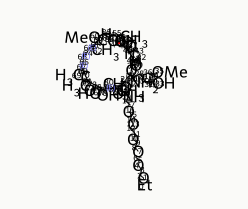 CCOCCOCCOCCOCCOCCOCCNC(=O)O[C@@H]1C[C@@H]([C@H](N)C[C@@H]2CC[C@@H](O)[C@H](OC)C2)OC(=O)[C@@H]2CCCCN2C(=O)C(=O)[C@]2(O)O[C@@H](CC[C@H]2C)C[C@H](OC)/C(C)=C/C=C/C=C/[C@@H](C)C[C@@H](C)C(=O)[C@H](O)[C@H](O)/C(C)=C/[C@H]1C